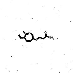 C=CC1C=CC(/C=C/CC(N)=O)=CN=C1C